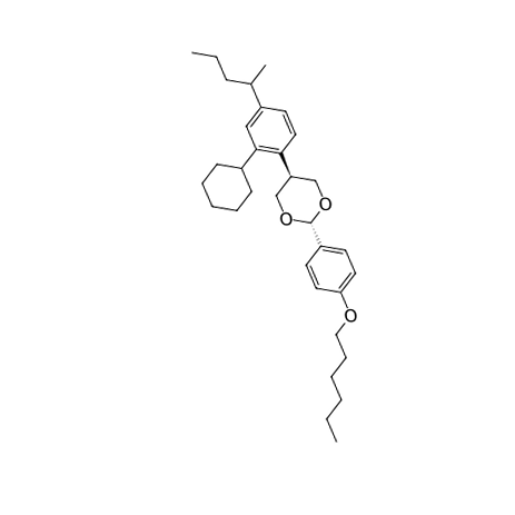 CCCCCCOc1ccc([C@H]2OC[C@H](c3ccc(C(C)CCC)cc3C3CCCCC3)CO2)cc1